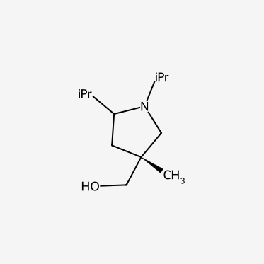 CC(C)C1C[C@@](C)(CO)CN1C(C)C